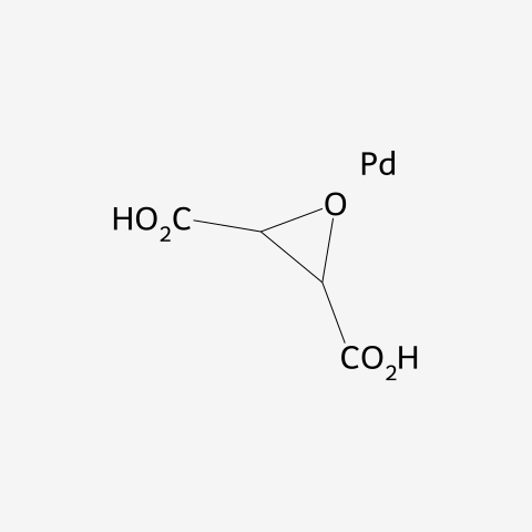 O=C(O)C1OC1C(=O)O.[Pd]